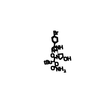 CC(C)(C)[C@H](OC(N)=O)C(=O)N1C[C@H](O)C[C@H]1c1ncc(-c2ccc(Br)cc2)[nH]1